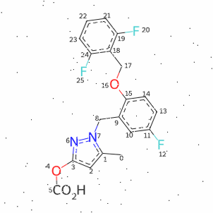 Cc1cc(OC(=O)O)nn1Cc1cc(F)ccc1OCc1c(F)cccc1F